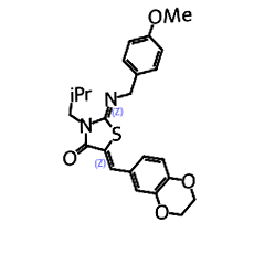 COc1ccc(C/N=C2\S/C(=C\c3ccc4c(c3)OCCO4)C(=O)N2CC(C)C)cc1